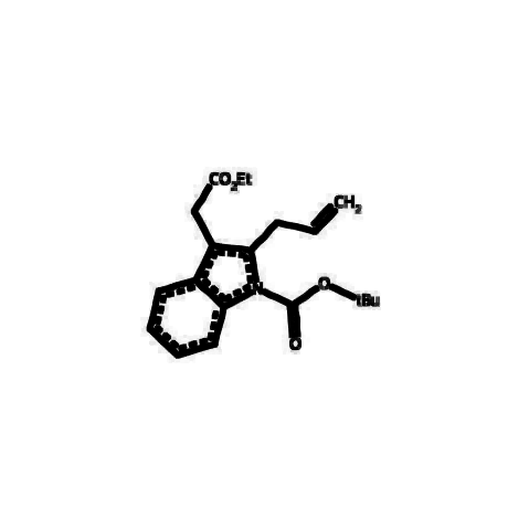 C=CCc1c(CC(=O)OCC)c2ccccc2n1C(=O)OC(C)(C)C